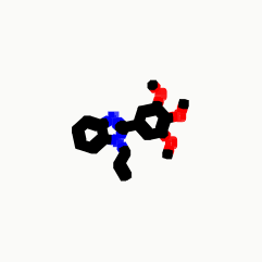 C=CCn1c(-c2cc(OC)c(OC)c(OC)c2)nc2ccccc21